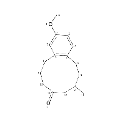 COc1ccc2c(c1)CCCC(=O)CC(C)CC2